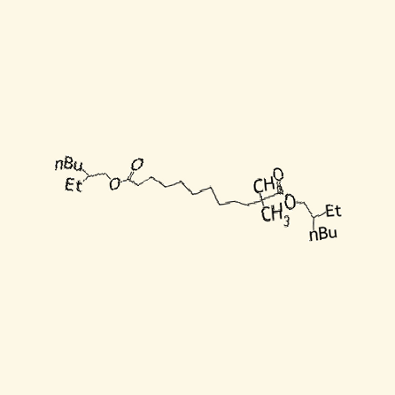 CCCCC(CC)COC(=O)CCCCCCCCCC(C)(C)C(=O)OCC(CC)CCCC